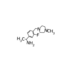 CC(N)c1ccc(CN2CCN(C)CC2)c(F)c1